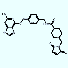 Nc1nc(OCc2ccc(CNC(=O)C3CCC(CN4C(=O)C=CC4=O)CC3)cc2)c2nc[nH]c2n1